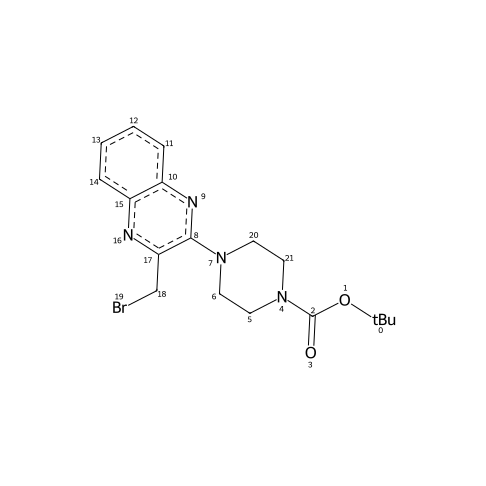 CC(C)(C)OC(=O)N1CCN(c2nc3ccccc3nc2CBr)CC1